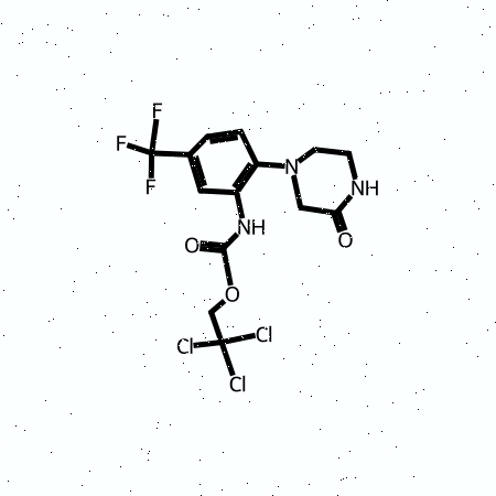 O=C1CN(c2ccc(C(F)(F)F)cc2NC(=O)OCC(Cl)(Cl)Cl)CCN1